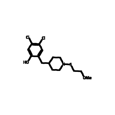 COCCSN1CCC(Cc2cc(Cl)c(Cl)cc2O)CC1